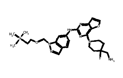 C[Si](C)(C)CCOCn1ncc2ccc(Nc3nc(N4CCC(F)(CN)CC4)c4occc4n3)cc21